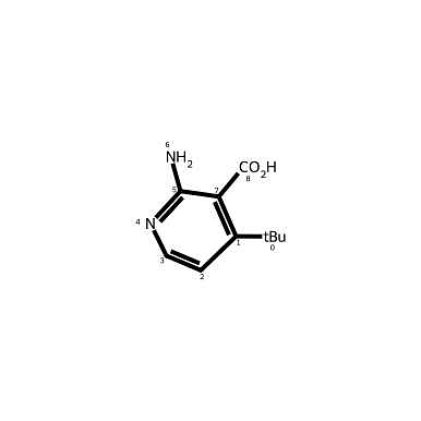 CC(C)(C)c1ccnc(N)c1C(=O)O